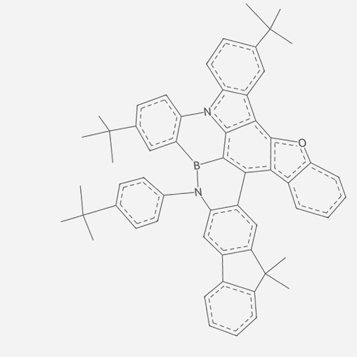 CC(C)(C)c1ccc(N2B3c4cc(C(C)(C)C)ccc4-n4c5ccc(C(C)(C)C)cc5c5c6oc7ccccc7c6c(c3c54)-c3cc4c(cc32)-c2ccccc2C4(C)C)cc1